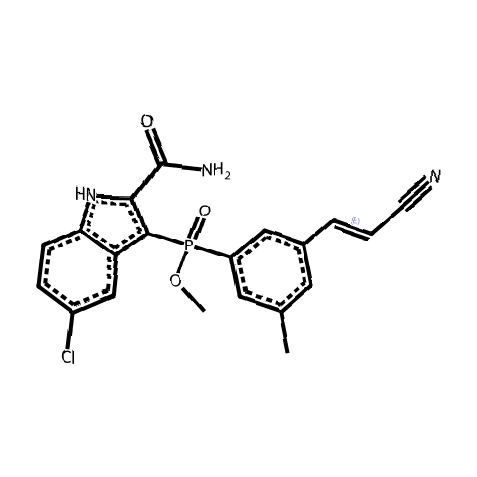 COP(=O)(c1cc(C)cc(/C=C/C#N)c1)c1c(C(N)=O)[nH]c2ccc(Cl)cc12